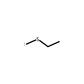 [C]SCC